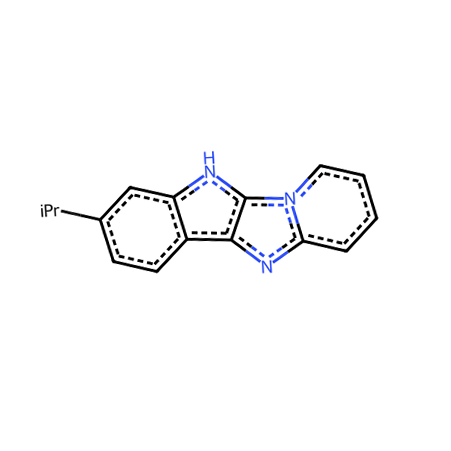 CC(C)c1ccc2c(c1)[nH]c1c2nc2ccccn21